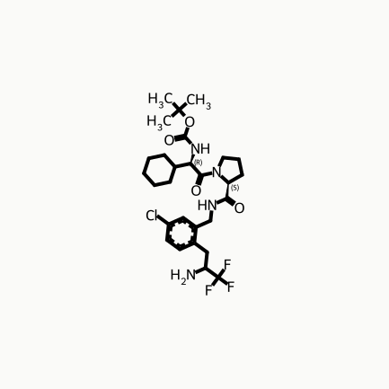 CC(C)(C)OC(=O)N[C@@H](C(=O)N1CCC[C@H]1C(=O)NCc1cc(Cl)ccc1CC(N)C(F)(F)F)C1CCCCC1